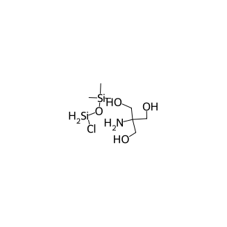 C[Si](C)(C)O[SiH2]Cl.NC(CO)(CO)CO